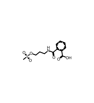 CS(=O)(=O)OCCCNC(=O)c1ccccc1C(=O)O